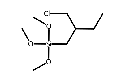 CCC(CCl)C[Si](OC)(OC)OC